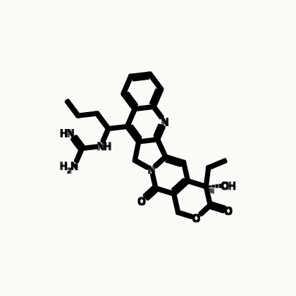 CCCC(NC(=N)N)c1c2c(nc3ccccc13)-c1cc3c(c(=O)n1C2)COC(=O)[C@]3(O)CC